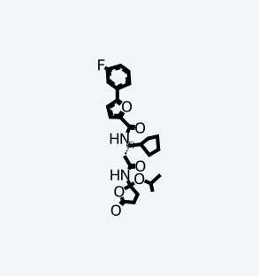 CC(C)OC1(NC(=O)C[C@H](NC(=O)c2ccc(-c3cccc(F)c3)o2)C2CCCC2)CCC(=O)O1